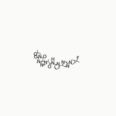 CC(=O)Cn1c(=O)c2c(ncn2[C@@H](C)C(=O)Nc2cccc(-c3cnc(N4CC5C(C4)C5(C)F)cn3)n2)n(C)c1=O